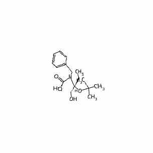 CC[C@](CO)(OC(C)(C)C)N(Cc1ccccc1)C(=O)O